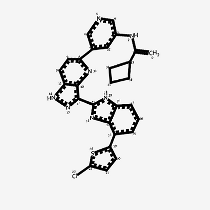 C=C(Nc1cncc(-c2ccc3[nH]nc(-c4nc5c(-c6ccc(Cl)s6)cccc5[nH]4)c3n2)c1)C1CCC1